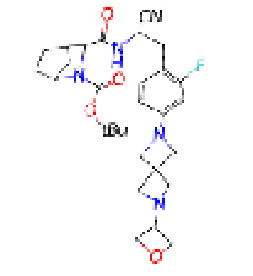 CC(C)(C)OC(=O)N1C2CCC(C2)C1C(=O)N[C@H](C#N)Cc1ccc(N2CC3(C2)CN(C2COC2)C3)cc1F